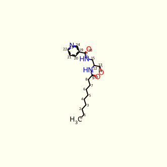 CCCCCCCCCC(=O)NC([C]=O)CNC(=O)c1cccnc1